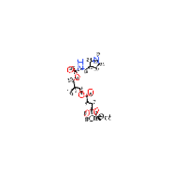 [CH2]C(COC(=O)CCC(OCCCCCCCC)OCCCCCCCC)COC(=O)NCC1CCN(C)C1